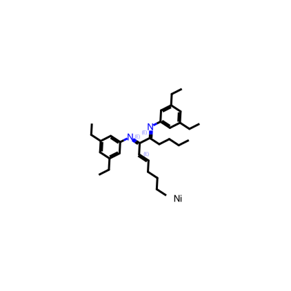 CCCC/C=C/C(=N\c1cc(CC)cc(CC)c1)C(/CCCC)=N/c1cc(CC)cc(CC)c1.[Ni]